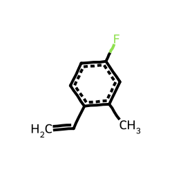 C=Cc1ccc(F)cc1C